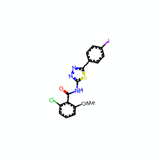 COc1cccc(Cl)c1C(=O)Nc1nnc(-c2ccc(I)cc2)s1